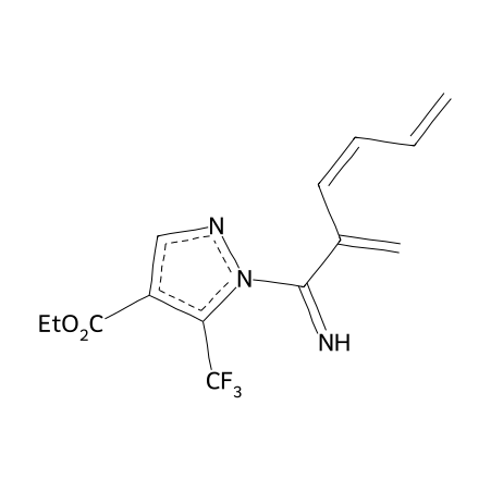 C=C/C=C\C(=C)C(=N)n1ncc(C(=O)OCC)c1C(F)(F)F